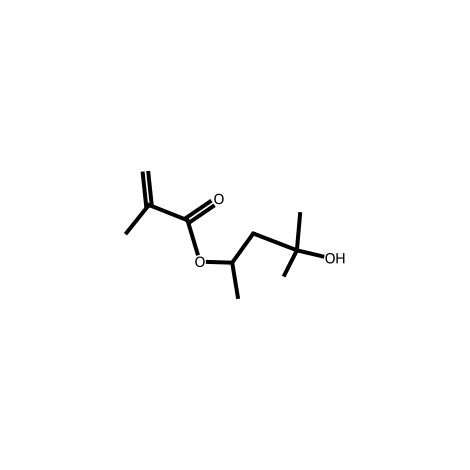 C=C(C)C(=O)OC(C)CC(C)(C)O